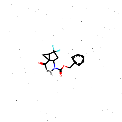 COC(=O)C12CC1C(F)(F)CC2N(C)C(=O)OCc1ccccc1